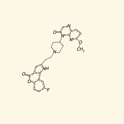 COc1ccc2ncc(=O)n(C3CCN(CCc4cc5c(=O)oc6ccc(F)cc6c5[nH]4)CC3)c2n1